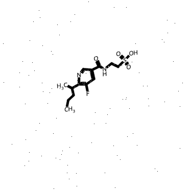 CCCC(C)c1ncc(C(=O)NCCS(=O)(=O)O)cc1F